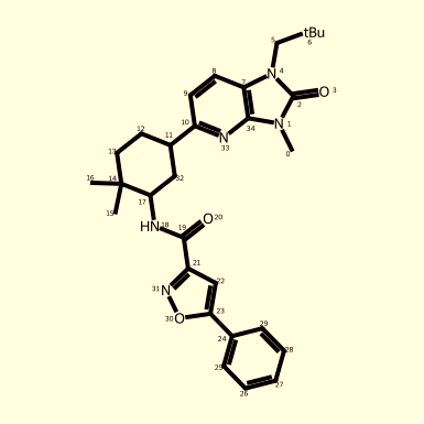 Cn1c(=O)n(CC(C)(C)C)c2ccc(C3CCC(C)(C)C(NC(=O)c4cc(-c5ccccc5)on4)C3)nc21